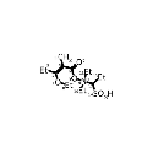 CCOC(CC)=C(C)C(=O)O[N+](CC)(CC)C(CC)S(=O)(=O)O